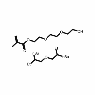 C=C(C)C(=O)OCCOCCOCCO.CCCCC(CC)COCC(CC)CCCC